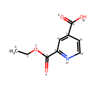 CCOC(=O)c1cc(C(=O)O)c[c]n1